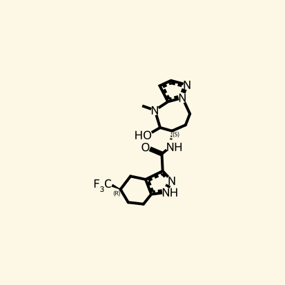 CN1c2ccnn2CC[C@H](NC(=O)c2n[nH]c3c2C[C@H](C(F)(F)F)CC3)C1O